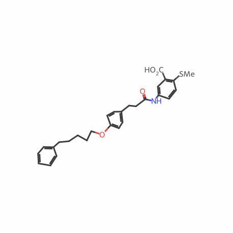 CSc1ccc(NC(=O)CCc2ccc(OCCCCCc3ccccc3)cc2)cc1C(=O)O